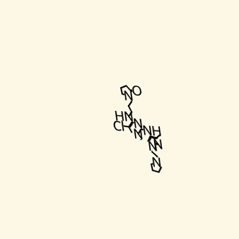 C=N/C(=N\C(NCCCN1CCCC1=O)=C(/C)Cl)Nc1cn(CCN2CCCC2)nc1C